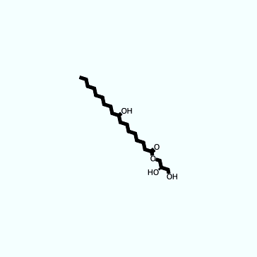 CCCCCCCCCC(O)CCCCCCCC(=O)OC[C@H](O)CO